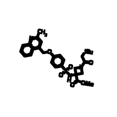 COC(=O)C1(NS(=O)(=O)c2ccc(OCc3cc(C)nc4ccccc34)cc2)CN(C(=O)CC(C)(C)C)C1